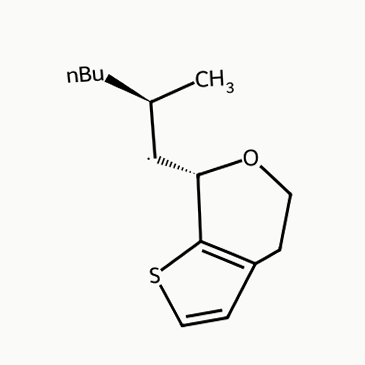 CCCC[C@@H](C)[CH][C@@H]1OCCc2ccsc21